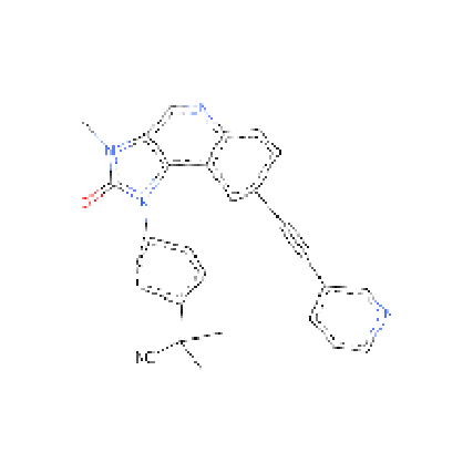 Cn1c(=O)n(-c2ccc(C(C)(C)C#N)cc2)c2c3cc(C#Cc4cccnc4)ccc3ncc21